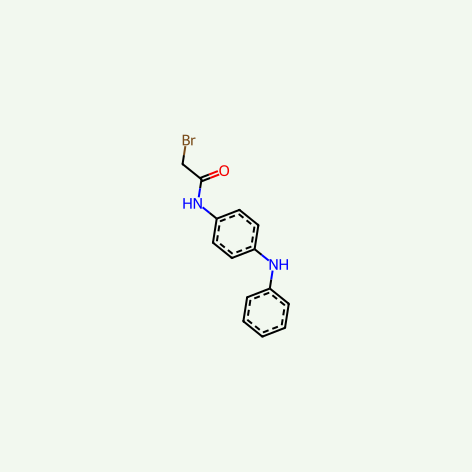 O=C(CBr)Nc1ccc(Nc2ccccc2)cc1